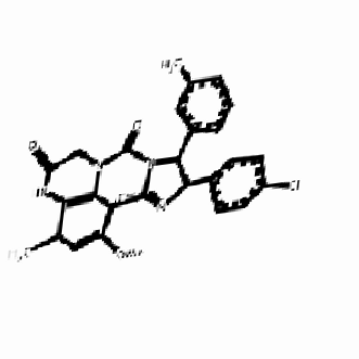 COC1=CC(C)C2=C3N(CC(=O)N2)C(=O)N2C(=NC(c4ccc(Cl)cc4)C2c2cccc(C)c2)C13C